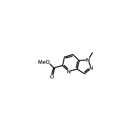 COC(=O)c1ccc2c(cnn2C)n1